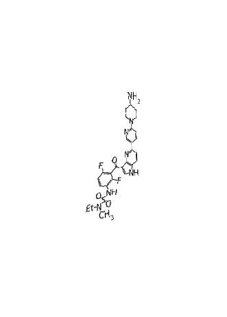 CCN(C)S(=O)(=O)Nc1ccc(F)c(C(=O)c2c[nH]c3ccc(-c4ccc(N5CCC(N)CC5)nc4)nc23)c1F